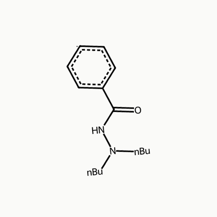 CCCCN(CCCC)NC(=O)c1cc[c]cc1